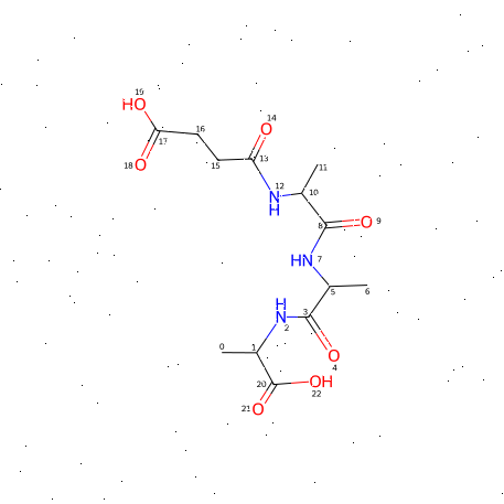 CC(NC(=O)C(C)NC(=O)C(C)NC(=O)CCC(=O)O)C(=O)O